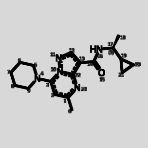 Cc1cc(N2CCCCC2)n2ncc(C(=O)N[C@@H](C)C3CC3)c2n1